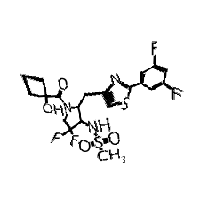 CS(=O)(=O)NC1C(Cc2csc(-c3cc(F)cc(F)c3)n2)N(C(=O)C2(O)CCC2)CC1(F)F